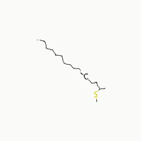 [CH2]CCCCCCCCCCCCCC(C)SC